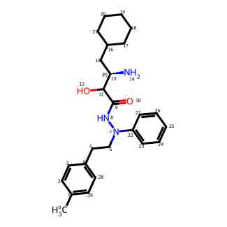 Cc1ccc(CCN(NC(=O)C(O)[C@H](N)CC2CCCCC2)c2ccccc2)cc1